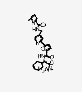 Cc1cccc(C(=O)NCc2ccnc(-c3ccc(C(=O)N[C@H](C(=O)N(C)N)C4CCCCC4)o3)c2)n1